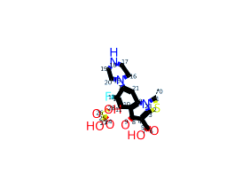 C[C@@H]1Sc2c(C(=O)O)c(=O)c3cc(F)c(N4CCNCC4)cc3n21.O=S(=O)(O)O